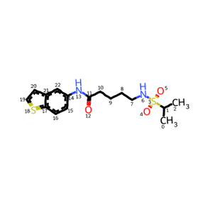 CC(C)S(=O)(=O)NCCCCC(=O)Nc1ccc2sccc2c1